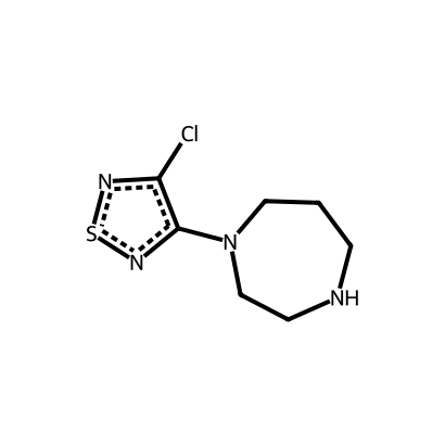 Clc1nsnc1N1CCCNCC1